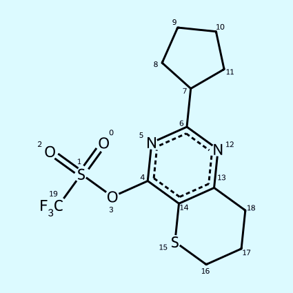 O=S(=O)(Oc1nc(C2CCCC2)nc2c1SCCC2)C(F)(F)F